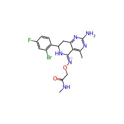 CNC(=O)CO/N=C1\NC(c2ccc(F)cc2Br)Cc2nc(N)nc(C)c21